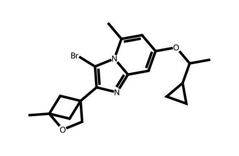 Cc1cc(OC(C)C2CC2)cc2nc(C34COC(C)(C3)C4)c(Br)n12